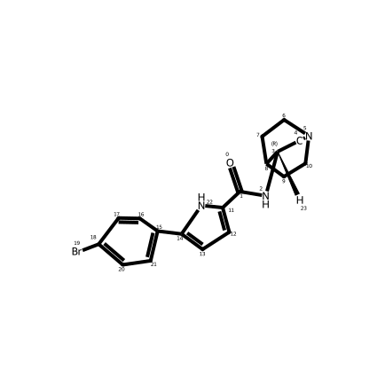 O=C(N[C@H]1CN2CCC1CC2)c1ccc(-c2ccc(Br)cc2)[nH]1